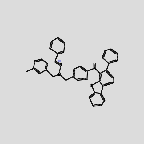 Cc1cccc(CN(Cc2ccc(Nc3c(-c4ccccc4)ccc4c3sc3ccccc34)cc2)/N=C/c2ccccc2)c1